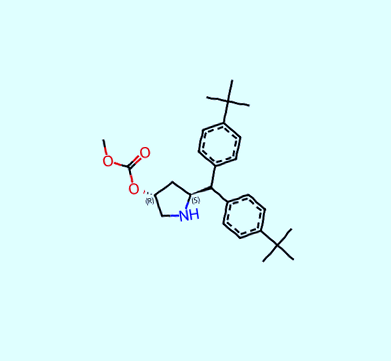 COC(=O)O[C@H]1CN[C@H](C(c2ccc(C(C)(C)C)cc2)c2ccc(C(C)(C)C)cc2)C1